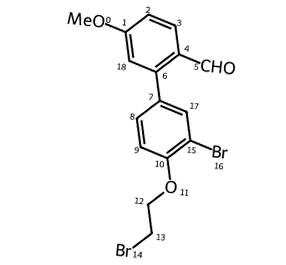 COc1ccc(C=O)c(-c2ccc(OCCBr)c(Br)c2)c1